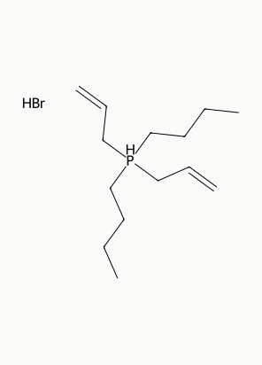 Br.C=CC[PH](CC=C)(CCCC)CCCC